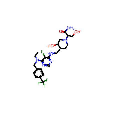 CCN(Cc1ccc(C(F)(F)F)cc1)c1ncnc(NCC2CCN(C(CO)C(N)=O)CC2O)c1F